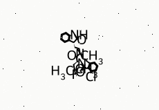 CN(CC[C@H]1C(=O)Nc2ccccc21)C(=O)[C@H](CC(C)(C)F)N1Cc2cccc(Cl)c2C1=O